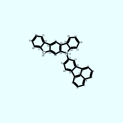 c1cc2c3c(cccc3c1)-c1cc(-n3c4ccccc4c4cc5c(cc43)oc3ccccc35)ccc1-2